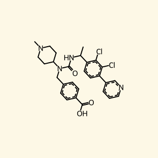 CC(NC(=O)N(Cc1ccc(C(=O)O)cc1)C1CCN(C)CC1)c1ccc(-c2cccnc2)c(Cl)c1Cl